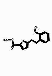 COC(=O)c1ccc(CCc2ccccc2OC)o1